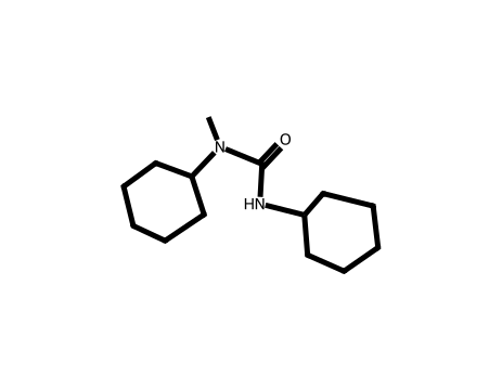 CN(C(=O)NC1CCCCC1)C1CCCCC1